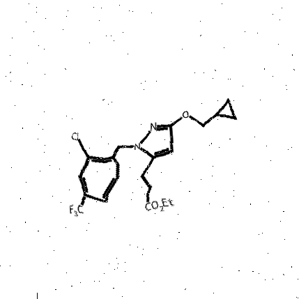 CCOC(=O)CCc1cc(OCC2CC2)nn1Cc1ccc(C(F)(F)F)cc1Cl